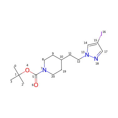 CC(C)(C)OC(=O)N1CCC(CCn2cc(I)cn2)CC1